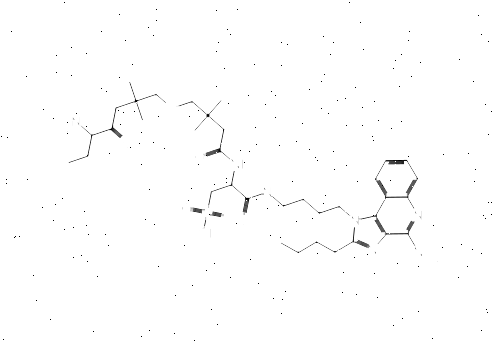 CCCCc1nc2c(N)nc3ccccc3c2n1CCCCNC(=O)C(CS(=O)(=O)O)NC(=O)CC(C)(C)COCC(C)(C)CC(=O)C(N)CC